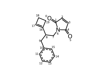 O=C1C=CC(=O)N1CC(Cc1ccccc1)C1=CCC1